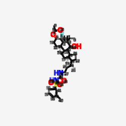 CC[C@@H]1[C@@H]2[C@@H](F)[C@H](OC(C)=O)CC[C@]2(C)C2CC[C@@]3(C)C(CCC3[C@H](C)CCNC(=O)NS(=O)(=O)c3cccc(C)c3)C2[C@@H]1O